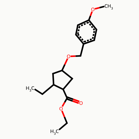 CCOC(=O)C1CC(OCc2ccc(OC)cc2)CC1CC